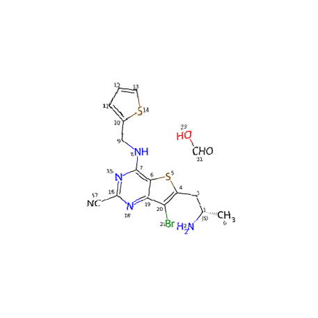 C[C@H](N)Cc1sc2c(NCc3cccs3)nc(C#N)nc2c1Br.O=CO